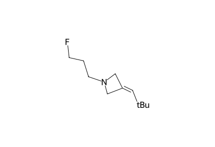 CC(C)(C)C=C1CN(CCCF)C1